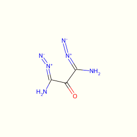 [N-]=[N+]=C(N)C(=O)C(N)=[N+]=[N-]